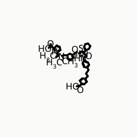 CC=C(c1cccc(C(=O)O)n1)N(CC1C=CC=C(C(=O)Nc2sc3c(c2C(=O)Nc2ccc(CCCc4ccc(C(=O)O)cc4)cc2)CCCC3)C1)C(C)C